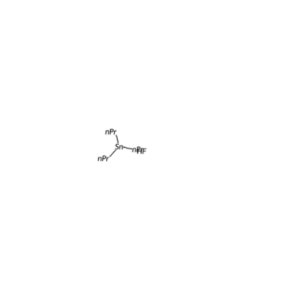 CC[CH2][Sn]([CH2]CC)[CH2]CC.F